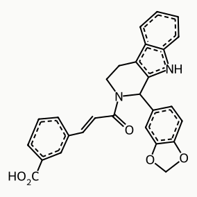 O=C(O)c1cccc(/C=C/C(=O)N2CCc3c([nH]c4ccccc34)C2c2ccc3c(c2)OCO3)c1